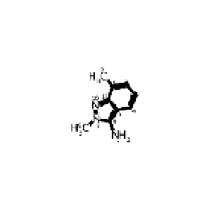 Cc1cccc2c(N)n(C)nc12